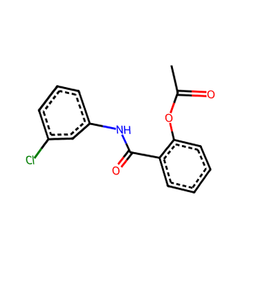 CC(=O)Oc1ccccc1C(=O)Nc1cccc(Cl)c1